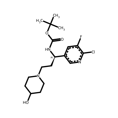 CC(C)(C)OC(=O)N[C@H](CCN1CCC(O)CC1)c1cnc(Cl)c(F)c1